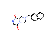 O=C1NCC(=O)N2CCN(Cc3ccc4ccccc4c3)CC12